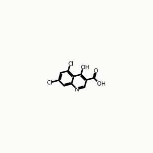 O=C(O)c1cnc2cc(Cl)cc(Cl)c2c1O